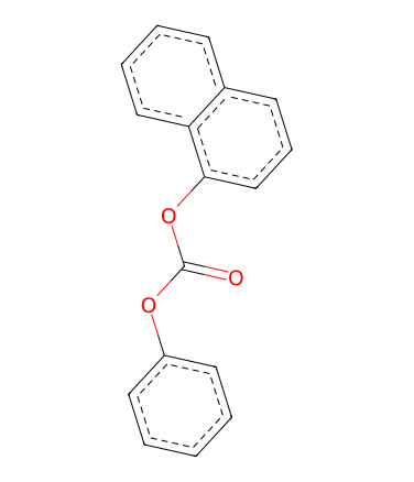 O=C(Oc1ccccc1)Oc1cccc2ccccc12